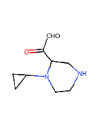 O=CC(=O)C1CNCCN1C1CC1